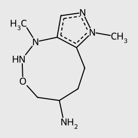 CN1NOCC(N)CCc2c1cnn2C